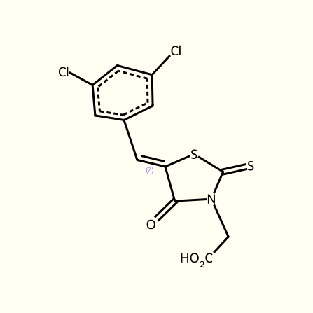 O=C(O)CN1C(=O)/C(=C/c2cc(Cl)cc(Cl)c2)SC1=S